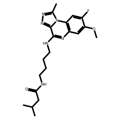 COc1cc2nc(NCCCCNC(=O)CC(C)C)c3nnc(C)n3c2cc1F